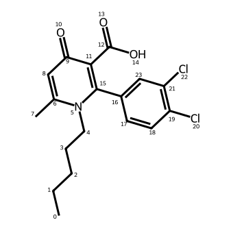 CCCCCn1c(C)cc(=O)c(C(=O)O)c1-c1ccc(Cl)c(Cl)c1